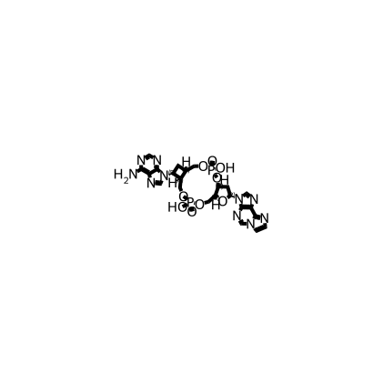 Nc1ncnc2c1ncn2[C@@H]1C[C@@H]2COP(=O)(O)O[C@H]3C[C@H](n4cnc5c4ncn4ccnc54)O[C@@H]3COP(=O)(O)OC[C@H]21